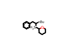 CCCCC(Cc1ccccc1)[SiH2]C1CCCCO1